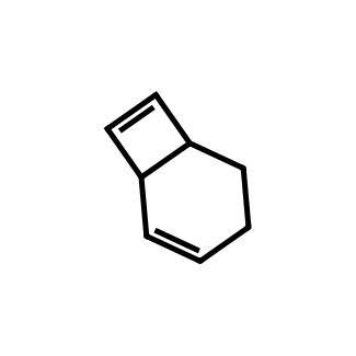 C1=CC2C=CC2CC1